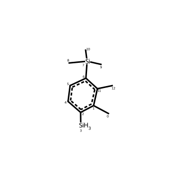 Cc1c([SiH3])ccc([Si](C)(C)C)c1C